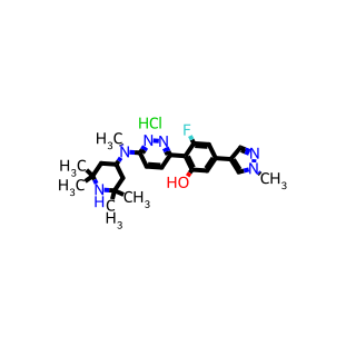 CN(c1ccc(-c2c(O)cc(-c3cnn(C)c3)cc2F)nn1)C1CC(C)(C)NC(C)(C)C1.Cl